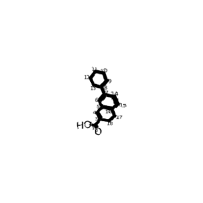 O=C(O)C1=Cc2cc(C3CCCCC3)ccc2CC1